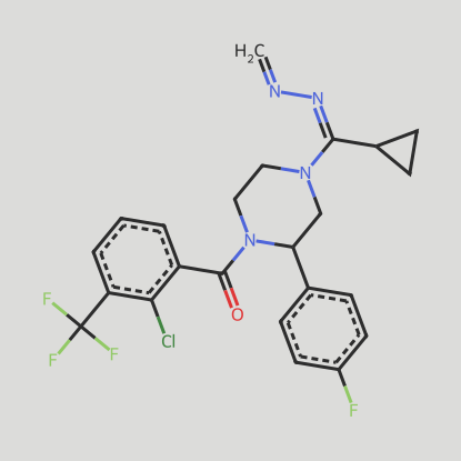 C=N/N=C(/C1CC1)N1CCN(C(=O)c2cccc(C(F)(F)F)c2Cl)C(c2ccc(F)cc2)C1